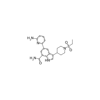 CCS(=O)(=O)N1CCC(c2c[nH]c3c(C(N)=O)cc(-c4cccc(N)n4)cc23)CC1